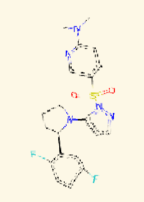 CN(C)c1ccc(S(=O)(=O)n2nccc2N2CCC[C@@H]2c2cc(F)ccc2F)cn1